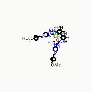 [2H]c1c([2H])c(NC(=O)c2nc3c(n2C)CCN(CCC24CCC(COC)(CC2)C4)C3)c(F)c(-c2c([2H])c([2H])c([2H])c(NC(=O)c3nc4c(n3C)CCN(CCC35CCC(C(=O)O)(CC3)C5)C4)c2Cl)c1[2H]